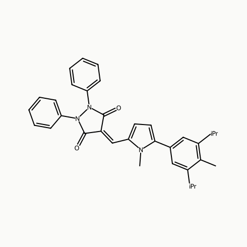 Cc1c(C(C)C)cc(-c2ccc(C=C3C(=O)N(c4ccccc4)N(c4ccccc4)C3=O)n2C)cc1C(C)C